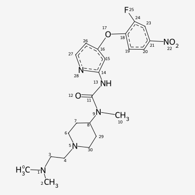 CN(C)CCN1CCC(N(C)C(=O)Nc2cc(Oc3ccc([N+](=O)[O-])cc3F)ccn2)CC1